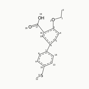 CCOc1ccc(-c2ccc(SC)cc2)cc1C(=O)O